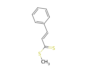 CSC(=S)/C=C/c1ccccc1